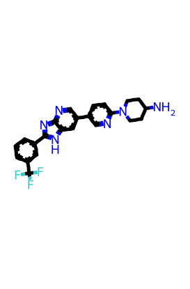 NC1CCN(c2ccc(-c3cnc4nc(-c5cccc(C(F)(F)F)c5)[nH]c4c3)cn2)CC1